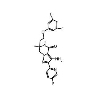 C[C@]1(CCOc2cc(F)cc(F)c2)Cn2nc(-c3ccc(F)cn3)c(N)c2C(=O)N1